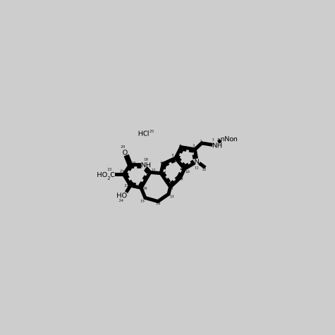 CCCCCCCCCNCc1cc2cc3c(cc2n1C)CCCc1c-3[nH]c(=O)c(C(=O)O)c1O.Cl